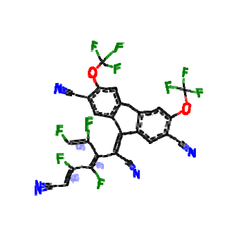 N#C/C=C(F)/C(F)=C(C(C#N)=C1c2cc(C#N)c(OC(F)(F)F)cc2-c2cc(OC(F)(F)F)c(C#N)cc21)\C(F)=C\F